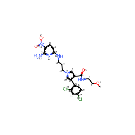 COCCNC(=O)c1cn(CCCNc2ccc([N+](=O)[O-])c(N)n2)cc1-c1ccc(Cl)cc1Cl